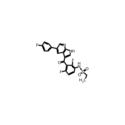 CCS(=O)(=O)Nc1ccc(F)c(C(=O)c2c[nH]c3ncc(-c4ccc(F)cc4)cc23)c1F